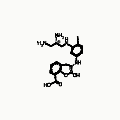 Cc1ccc(N[C@H]2Cc3cccc(C(=O)O)c3OB2O)cc1NC[C@@H](N)CN